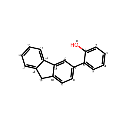 Oc1ccccc1-c1ccc2c(c1)-c1ccccc1C2